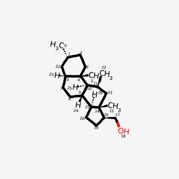 C[C@@H]1CC[C@@]2(C)[C@@H](CC[C@@H]3[C@@H]2[C@@H](C)C[C@]2(C)[C@@H](CO)CC[C@@H]32)C1